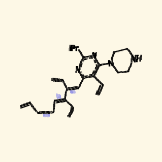 C=C\C=C/C=C(C=C)/C(C=C)=C/c1nc(C(C)C)nc(N2CCNCC2)c1C=C